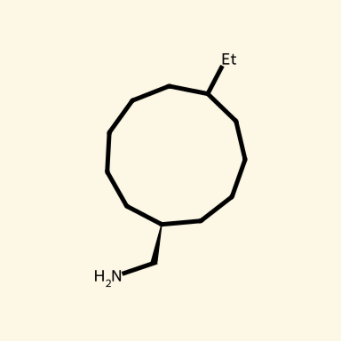 CCC1CCCCC[C@H](CN)CCCC1